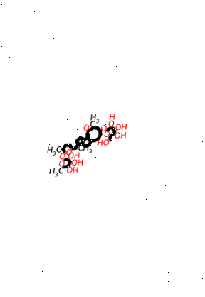 CC1C[C@@H](OC2OC(CO)C(O)C(O)C2O)CCCC2CC[C@]3(C)C(CC4CC[C@@H](C)C(OC5OC(C)C(O)C(O)C5O)O4)CCC3/C2=C/C1=O